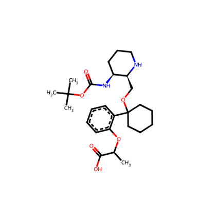 CC(Oc1ccccc1C1(OC[C@@H]2NCCC[C@@H]2NC(=O)OC(C)(C)C)CCCCC1)C(=O)O